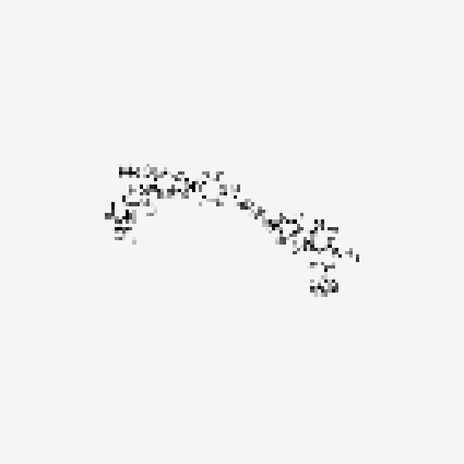 COc1cc2nn(C3CCN(CCOCCOc4ccc5c(c4)CN(C(CCC(=O)OC(C)(C)C)C(N)=O)C5=O)CC3)cc2cc1NC(=O)c1cccc(C(F)(F)F)n1